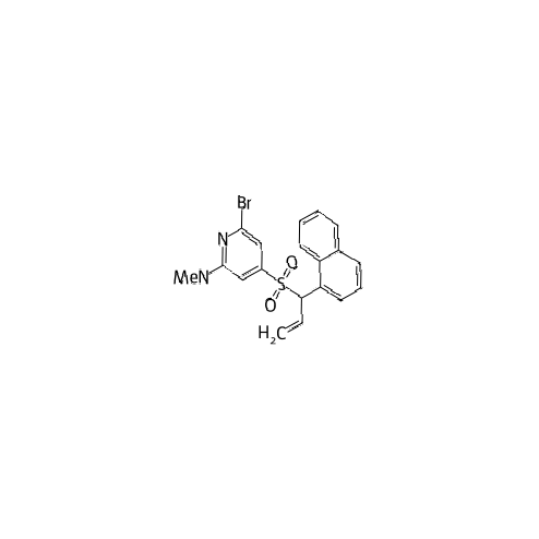 C=CC(c1cccc2ccccc12)S(=O)(=O)c1cc(Br)nc(NC)c1